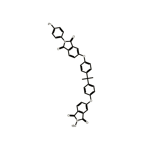 CC(C)c1ccc(N2C(=O)c3ccc(Oc4ccc(C(C)(C)c5ccc(Oc6ccc7c(c6)C(=O)N(C(C)(C)C)C7=O)cc5)cc4)cc3C2=O)cc1